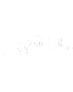 O=CNc1cccc(Oc2ccc3nc(NC(=O)NCC4COC4)cn3n2)c1